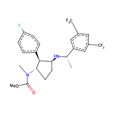 COC(=O)N(C)[C@H]1CC[C@H](N[C@@H](C)c2cc(C(F)(F)F)cc(C(F)(F)F)c2)[C@@H]1c1ccc(F)cc1